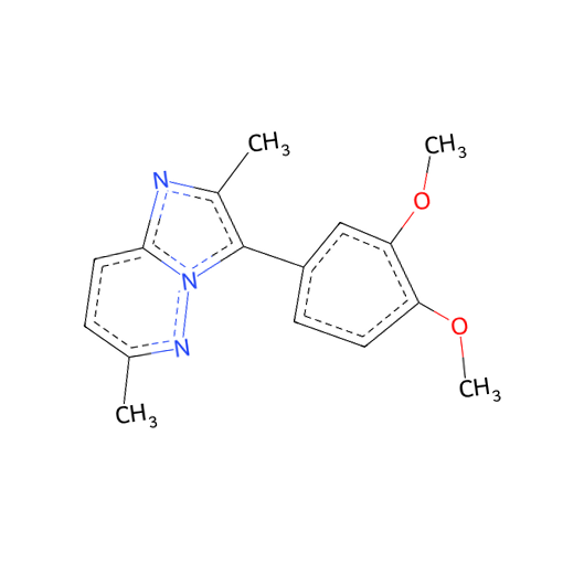 COc1ccc(-c2c(C)nc3ccc(C)nn23)cc1OC